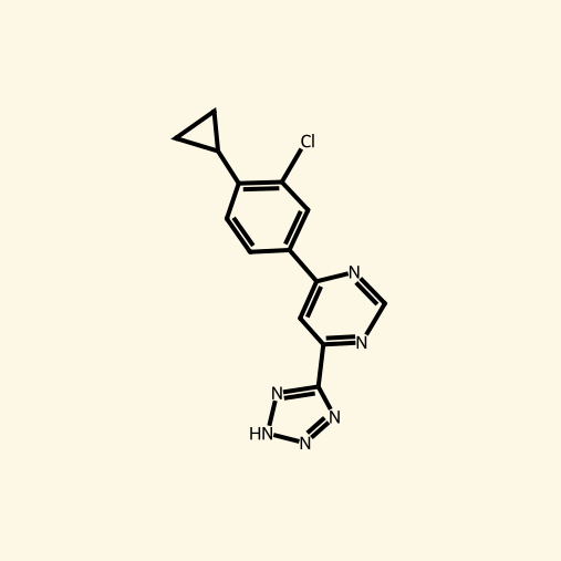 Clc1cc(-c2cc(-c3nn[nH]n3)ncn2)ccc1C1CC1